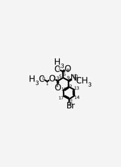 CCOC(=O)C(C(C)=O)/C(=N/C)c1ccc(Br)cc1